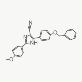 COc1ccc(-c2nc(C#N)c(-c3ccc(OCc4ccccc4)cc3)[nH]2)cc1